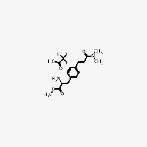 COC(=O)[C@@H](N)Cc1ccc(C=CC(=O)N(C)C)cc1.O=C(O)C(F)(F)F